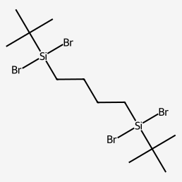 CC(C)(C)[Si](Br)(Br)CCCC[Si](Br)(Br)C(C)(C)C